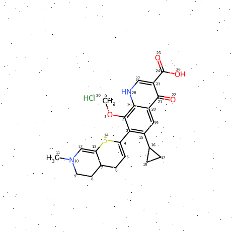 COc1c(C2=CCC3CCN(C)C=C3S2)c(C2CC2)cc2c(=O)c(C(=O)O)c[nH]c12.Cl